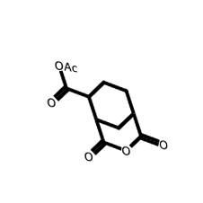 CC(=O)OC(=O)C1CCC2CC1C(=O)OC2=O